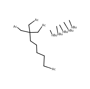 CC(=O)CCCCCC(CC(C)=O)(CC(C)=O)CC(C)=O.CCCCC.CCCCC.CCCCC.CCCCC.CCCCC